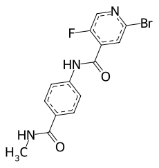 CNC(=O)c1ccc(NC(=O)c2cc(Br)ncc2F)cc1